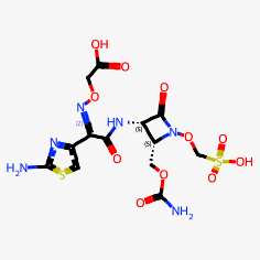 NC(=O)OC[C@@H]1[C@H](NC(=O)/C(=N\OCC(=O)O)c2csc(N)n2)C(=O)N1OCS(=O)(=O)O